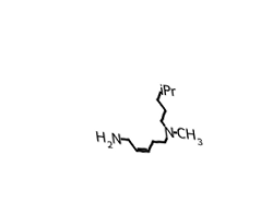 CC(C)CCCN(C)CC/C=C\CN